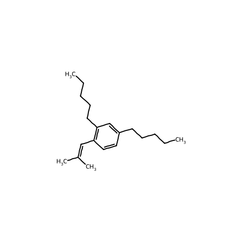 CCCCCc1ccc(C=C(C)C)c(CCCCC)c1